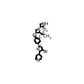 CC(C)(C)C1C(Oc2ccc(-n3cc(Br)c(-c4ccncc4)n3)cc2)CN1C1CNC1